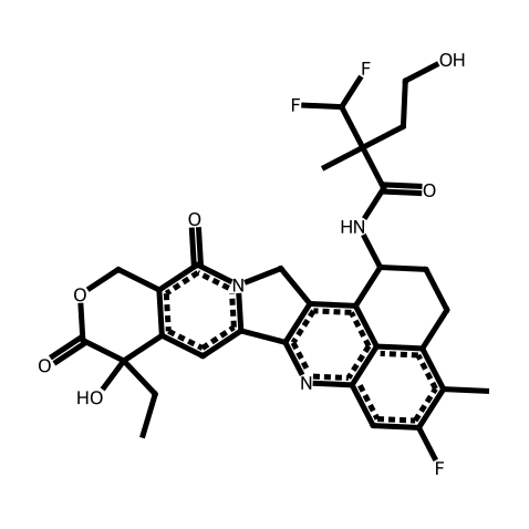 CCC1(O)C(=O)OCc2c1cc1n(c2=O)Cc2c-1nc1cc(F)c(C)c3c1c2C(NC(=O)C(C)(CCO)C(F)F)CC3